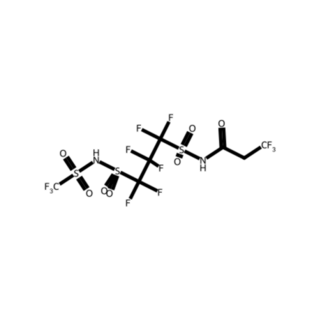 O=C(CC(F)(F)F)NS(=O)(=O)C(F)(F)C(F)(F)C(F)(F)S(=O)(=O)NS(=O)(=O)C(F)(F)F